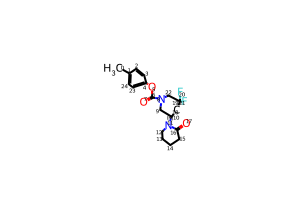 Cc1ccc(OC(=O)N2C[C@H](N3CCCCC3=O)CC(F)(F)C2)cc1